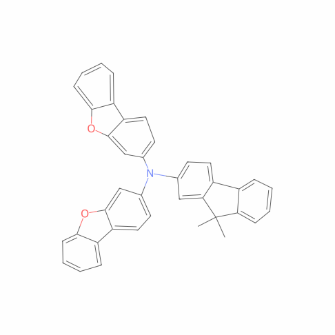 CC1(C)c2ccccc2-c2ccc(N(c3ccc4c(c3)oc3ccccc34)c3ccc4c(c3)oc3ccccc34)cc21